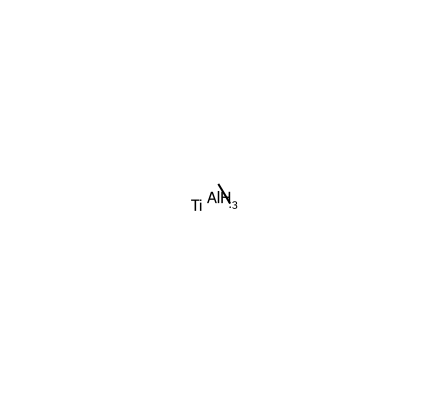 [AlH3].[CH2]C.[Ti]